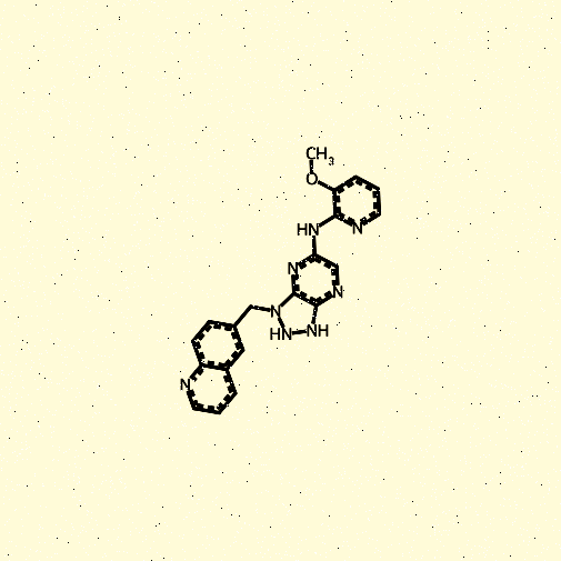 COc1cccnc1Nc1cnc2c(n1)N(Cc1ccc3ncccc3c1)NN2